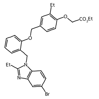 CCOC(=O)COc1ccc(COc2ccccc2Cn2c(CC)nc3cc(Br)ccc32)cc1CC